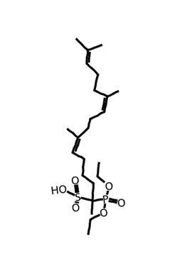 CCOP(=O)(OCC)C(C)(CCCC=C(C)CCC=C(C)CCC=C(C)C)S(=O)(=O)O